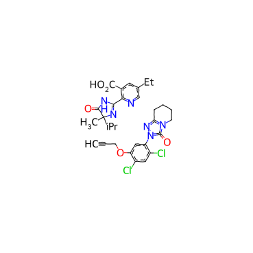 C#CCOc1cc(-n2nc3n(c2=O)CCCC3)c(Cl)cc1Cl.CCc1cnc(C2=NC(C)(C(C)C)C(=O)N2)c(C(=O)O)c1